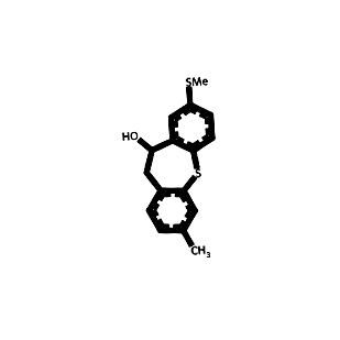 CSc1ccc2c(c1)C(O)Cc1ccc(C)cc1S2